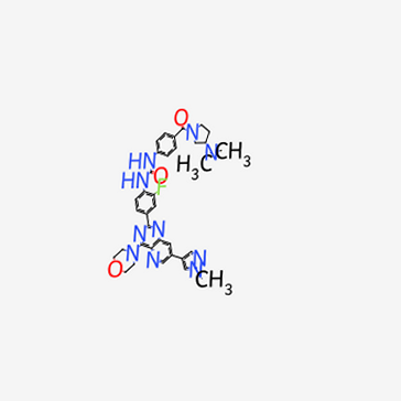 CN(C)C1CCN(C(=O)c2ccc(NC(=O)Nc3ccc(-c4nc(N5CCOCC5)c5ncc(-c6cnn(C)c6)cc5n4)cc3F)cc2)C1